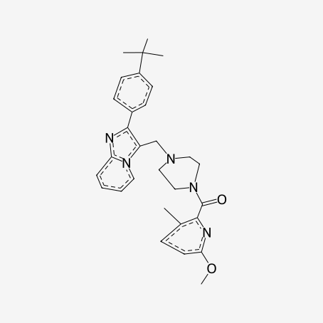 COc1ccc(C)c(C(=O)N2CCN(Cc3c(-c4ccc(C(C)(C)C)cc4)nc4ccccn34)CC2)n1